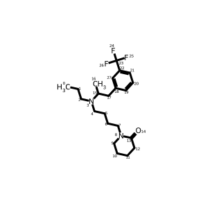 CCCN(CCCCN1CCCCC1=O)C(C)Cc1cccc(C(F)(F)F)c1